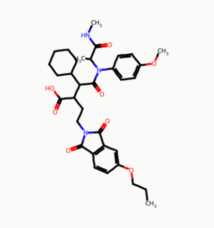 CCCOc1ccc2c(c1)C(=O)N(CCC(C(=O)O)C(C(=O)N(c1ccc(OC)cc1)C(C)C(=O)NC)C1CCCCC1)C2=O